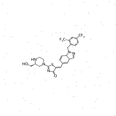 O=C1N=C(N2CCN[C@H](CO)C2)S/C1=C\C1=CC2C=NN(Cc3ccc(C(F)(F)F)cc3C(F)(F)F)C2C=C1